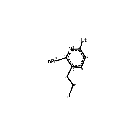 CCCc1nc(CC)ccc1CCI